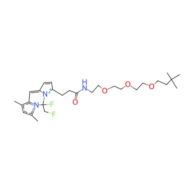 Cc1cc(C)n2c1C=C1C=CC(CCC(=O)NCCOCCOCCOCCC(C)(C)C)=[N+]1C2(F)CF